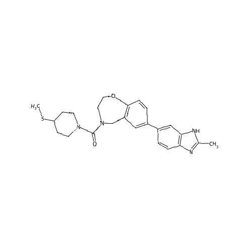 CSC1CCN(C(=O)N2CCOc3ccc(-c4ccc5nc(C)[nH]c5c4)cc3C2)CC1